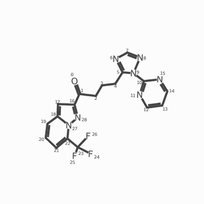 O=C(CCCc1ncnn1-c1ncccn1)c1cc2cccc(C(F)(F)F)n2n1